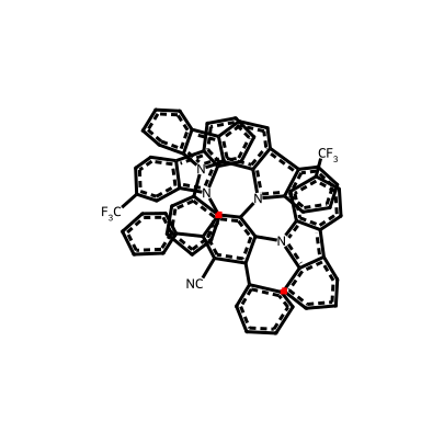 N#Cc1c(-c2ccccc2)c(-n2c3ccccc3c3ccc(C(F)(F)F)cc32)c(-n2c3ccccc3c3ccc4c5ccccc5n(-c5ccccc5)c4c32)c(-n2c3ccccc3c3ccc(C(F)(F)F)cc32)c1-c1ccccc1